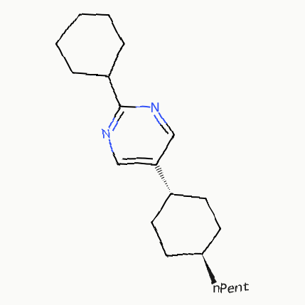 CCCCC[C@H]1CC[C@H](c2cnc(C3CCCCC3)nc2)CC1